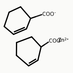 O=C([O-])C1C=CCCC1.O=C([O-])C1C=CCCC1.[Zn+2]